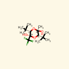 CC(C)(C)[C@@H]1O[C@@](O)(C(F)(F)F)[C@H](C(C)(C)C)O[C@@]1(C)O